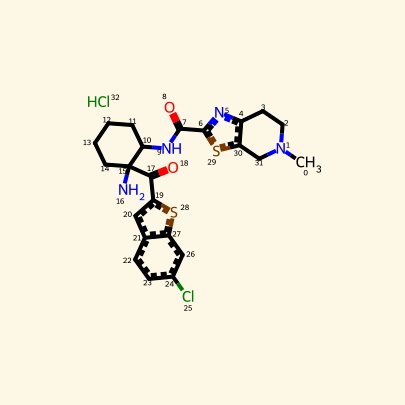 CN1CCc2nc(C(=O)NC3CCCCC3(N)C(=O)c3cc4ccc(Cl)cc4s3)sc2C1.Cl